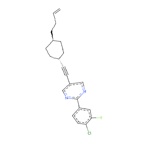 C=CCC[C@H]1CC[C@H](C#Cc2cnc(-c3ccc(Cl)c(F)c3)nc2)CC1